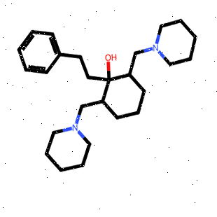 OC1(CCc2ccccc2)C(CN2CCCCC2)CCCC1CN1CCCCC1